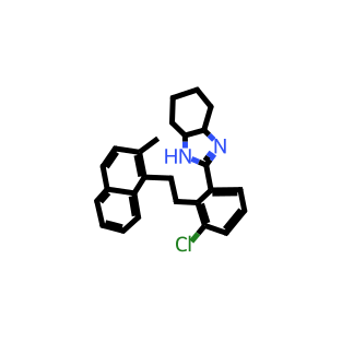 Cc1ccc2ccccc2c1CCc1c(Cl)cccc1C1=NC2CCCCC2N1